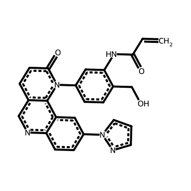 C=CC(=O)Nc1cc(-n2c(=O)ccc3cnc4ccc(-n5cccn5)cc4c32)ccc1CO